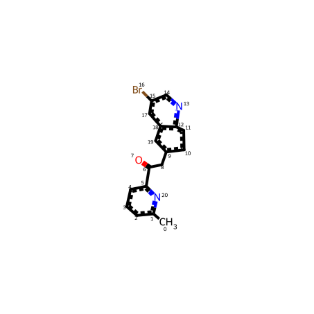 Cc1cccc(C(=O)Cc2ccc3ncc(Br)cc3c2)n1